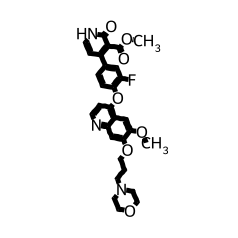 COC(=O)c1c(-c2ccc(Oc3ccnc4cc(OCCCN5CCOCC5)c(OC)cc34)c(F)c2)cc[nH]c1=O